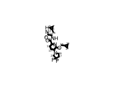 NC(=O)[C@H](CC1CC1)NC(=O)c1ccc(N2CCC(F)(F)C2)c(OCC2CC2)n1